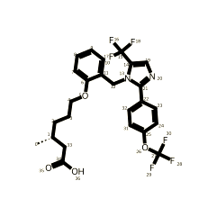 C[C@H](CCCOc1ccccc1Cn1c(C(F)(F)F)cnc1-c1ccc(OC(F)(F)F)cc1)CC(=O)O